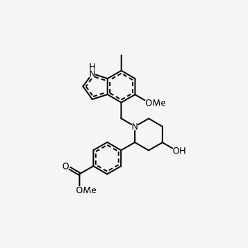 COC(=O)c1ccc(C2CC(O)CCN2Cc2c(OC)cc(C)c3[nH]ccc23)cc1